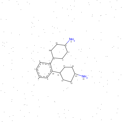 NC1CCC(c2ccccc2C2CCC(N)CC2)CC1